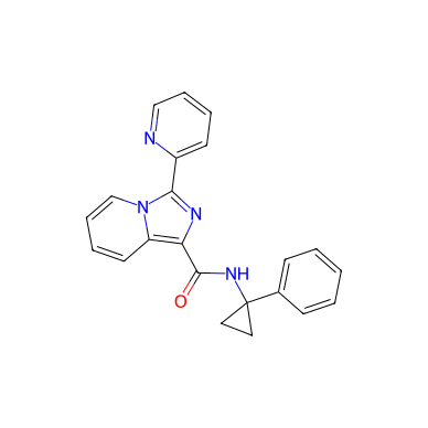 O=C(NC1(c2ccccc2)CC1)c1nc(-c2ccccn2)n2ccccc12